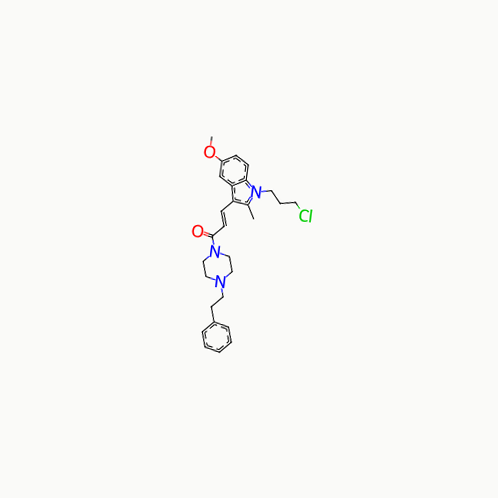 COc1ccc2c(c1)c(C=CC(=O)N1CCN(CCc3ccccc3)CC1)c(C)n2CCCCl